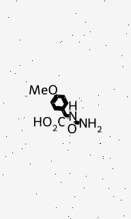 COc1ccc(C(NC(N)=O)C(=O)O)cc1